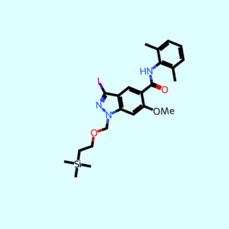 COc1cc2c(cc1C(=O)Nc1c(C)cccc1C)c(I)nn2COCC[Si](C)(C)C